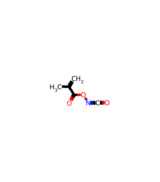 C=C(C)C(=O)ON=C=O